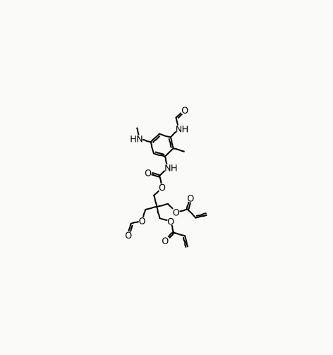 C=CC(=O)OCC(COC=O)(COC(=O)C=C)COC(=O)Nc1cc(NC)cc(NC=O)c1C